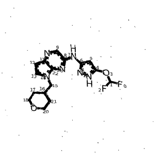 FC(F)Oc1cc(Nc2cnc3ccn(CC4CCOCC4)c3n2)n[nH]1